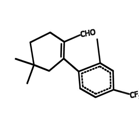 Cc1cc(C(F)(F)F)ccc1C1=C(C=O)CCC(C)(C)C1